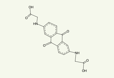 O=C(O)CNc1ccc2c(c1)C(=O)c1ccc(NCC(=O)O)cc1C2=O